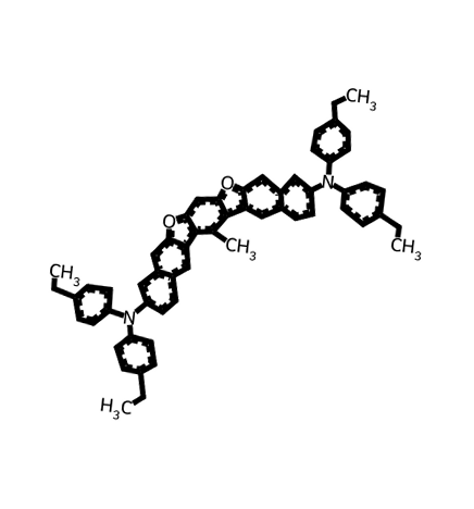 CCc1ccc(N(c2ccc(CC)cc2)c2ccc3cc4c(cc3c2)oc2cc3oc5cc6cc(N(c7ccc(CC)cc7)c7ccc(CC)cc7)ccc6cc5c3c(C)c24)cc1